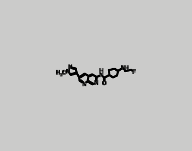 Cn1cc(-c2cnc3cnc(NC(=O)C4CCC(NCCF)CC4)cc3c2)cn1